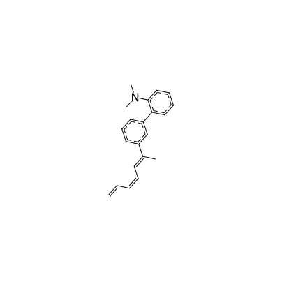 C=C/C=C\C=C(/C)c1cccc(-c2ccccc2N(C)C)c1